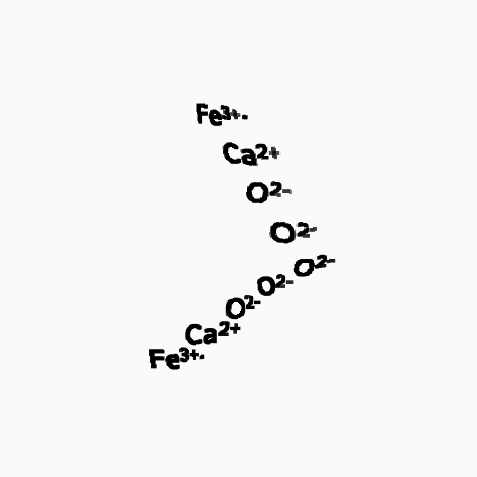 [Ca+2].[Ca+2].[Fe+3].[Fe+3].[O-2].[O-2].[O-2].[O-2].[O-2]